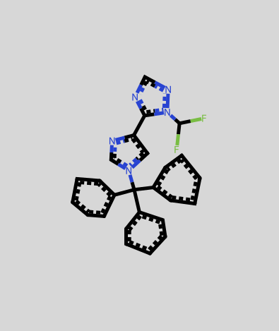 FC(F)n1ncnc1-c1cn(C(c2ccccc2)(c2ccccc2)c2ccccc2)cn1